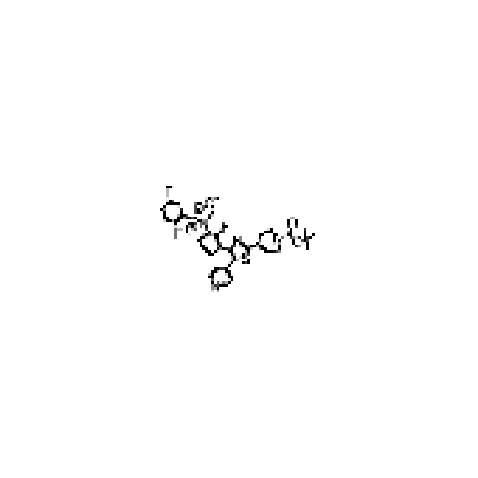 COCN(c1cccc(-c2nc(C3=CCN(C(=O)OC(C)(C)C)CC3)sc2-c2ccncc2)c1F)S(=O)(=O)c1cc(F)ccc1F